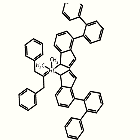 [CH3][Hf]([CH3])(=[C](Cc1ccccc1)Cc1ccccc1)([CH]1C=Cc2c(-c3ccccc3-c3ccccc3)cccc21)[CH]1C=Cc2c(-c3ccccc3-c3ccccc3)cccc21